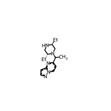 CC[C@H]1CN(C(C)c2ccn3nccc3n2)[C@H](CC)CN1